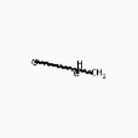 C=CCCCCNC(=O)CCCCCCCCCCCCCCCCC=O